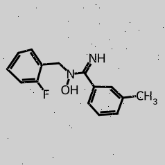 Cc1cccc(C(=N)N(O)Cc2ccccc2F)c1